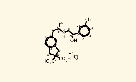 C[C@H](Cc1ccc2c(c1)CC(C(=O)O)(C(=O)O)C2)NC[C@H](O)c1cccc(Cl)c1.Cl.Cl